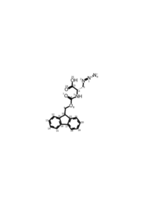 [N-]=[N+]=NC[C@H](NC(=O)OCC1c2ccccc2-c2ccccc21)C(=O)O